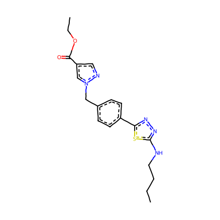 CCCCNc1nnc(-c2ccc(Cn3cc(C(=O)OCC)cn3)cc2)s1